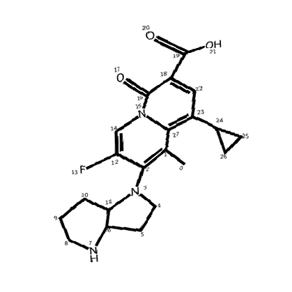 Cc1c(N2CCC3NCCCC32)c(F)cn2c(=O)c(C(=O)O)cc(C3CC3)c12